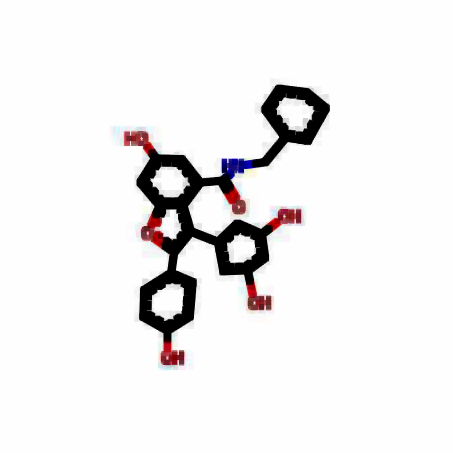 O=C(NCc1ccccc1)c1cc(O)cc2oc(-c3ccc(O)cc3)c(-c3cc(O)cc(O)c3)c12